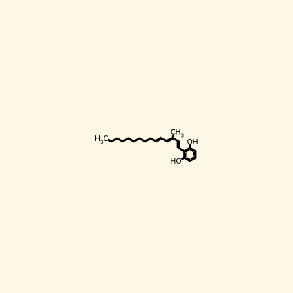 CCCCCCCCCC=CC=C(C)C=Cc1c(O)cccc1O